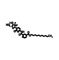 CCCCCCCCCCCOC(=O)c1ccnc(C(=O)Nc2ccn([C@@H]3O[C@H](CO)[C@@H](O)C3(F)F)c(=O)n2)c1